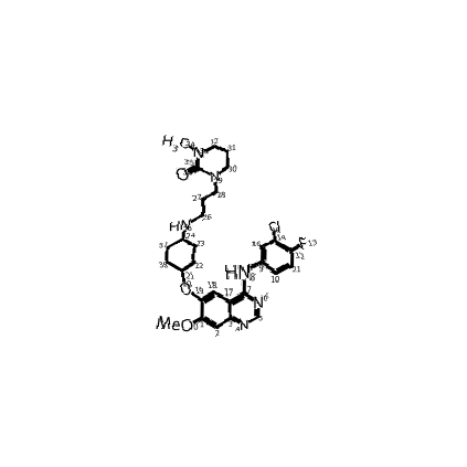 COc1cc2ncnc(Nc3ccc(F)c(Cl)c3)c2cc1OC1CCC(NCCCN2CCCN(C)C2=O)CC1